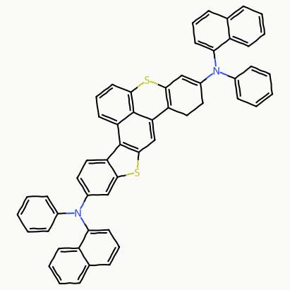 C1=C(N(c2ccccc2)c2cccc3ccccc23)CCC2=C1Sc1cccc3c1c2cc1sc2cc(N(c4ccccc4)c4cccc5ccccc45)ccc2c13